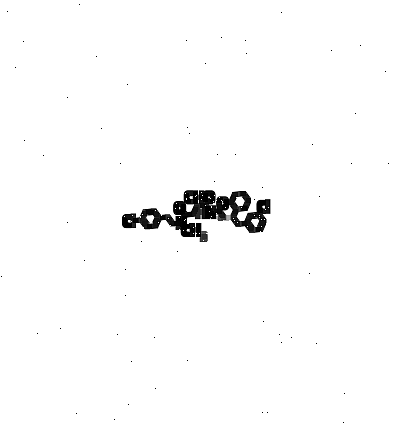 CN(CCc1ccc(Cl)cc1)C(=O)CC[C@@H](C=O)NC(=O)[CH][C@@H](Cc1cccc(Cl)c1)C1CCCCC1